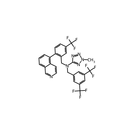 Cn1nnc(N(Cc2cc(C(F)(F)F)cc(C(F)(F)F)c2)Cc2cc(C(F)(F)F)ccc2-c2cccc3cnccc23)n1